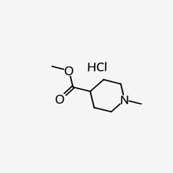 COC(=O)C1CCN(C)CC1.Cl